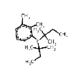 CCC(C)(C)P(c1cccc(C)c1C)C(C)(C)CC